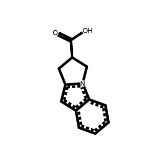 O=C(O)C1Cc2cc3ccccc3n2C1